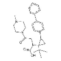 CN1CCN(C(=O)CN(C(=O)O)C2(C(C)(C)C)CC2c2ccc(-c3ccccc3)cc2)CC1